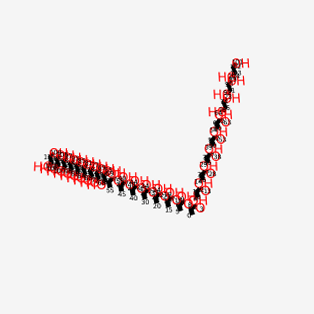 C=CC(=O)O.C=CC(=O)O.C=CC(=O)O.C=CC(=O)O.C=CC(=O)O.C=CC(=O)O.C=CC(=O)O.C=CC(=O)O.C=CC(=O)O.C=CC(=O)O.C=CC(=O)O.C=CC(=O)O.C=CC(=O)O.OCCO.OCCO.OCCO.OCCO.OCCO.OCCO.OCCO.OCCO.OCCO.OCCO.OCCO.OCCO